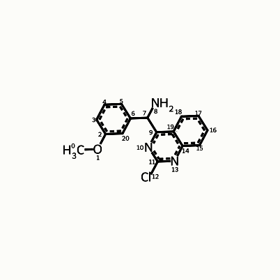 COc1cccc(C(N)c2nc(Cl)nc3ccccc23)c1